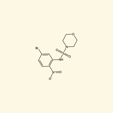 O=[N+]([O-])c1ccc(Br)cc1NS(=O)(=O)N1CCOCC1